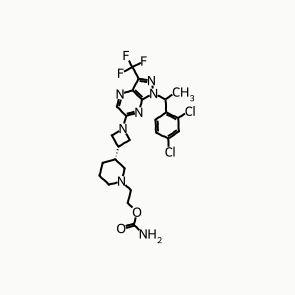 CC(c1ccc(Cl)cc1Cl)n1nc(C(F)(F)F)c2ncc(N3CC([C@H]4CCCN(CCOC(N)=O)C4)C3)nc21